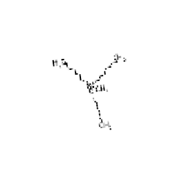 C=CCCCCCCO[Si](C)(OCCCCCCC=C)OCCCCCCC=C